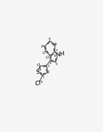 Clc1cc(-c2c[nH]c3ccccc23)cs1